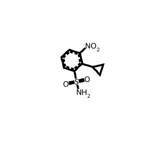 NS(=O)(=O)c1cccc([N+](=O)[O-])c1C1CC1